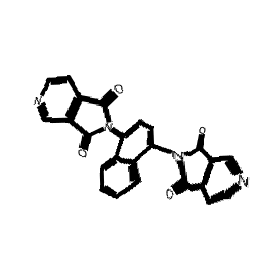 O=C1c2ccncc2C(=O)N1c1ccc(N2C(=O)c3ccncc3C2=O)c2ccccc12